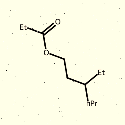 CCCC(CC)CCOC(=O)CC